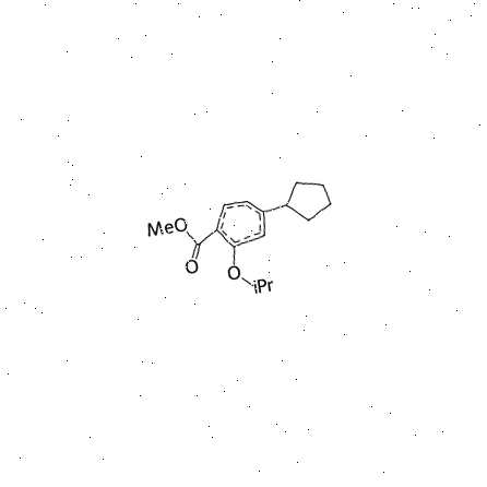 COC(=O)c1ccc(C2CCCC2)cc1OC(C)C